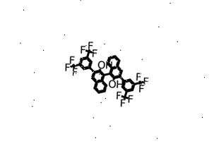 Oc1c(-c2cc(C(F)(F)F)cc(C(F)(F)F)c2)cc2ccccc2c1-c1c(O)c(-c2cc(C(F)(F)F)cc(C(F)(F)F)c2)cc2ccccc12